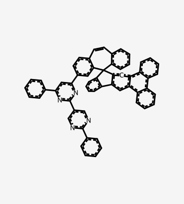 C1=Cc2ccc(-c3cc(-c4ccccc4)nc(-c4cnc(-c5ccccc5)nc4)n3)cc2C2(c3ccccc31)c1ccccc1-c1cc3c4ccccc4c4ccccc4c3cc12